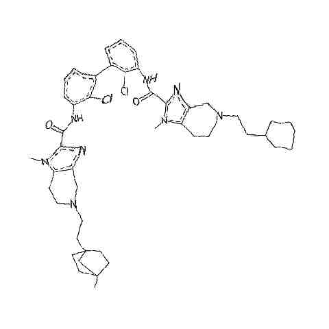 Cn1c(C(=O)Nc2cccc(-c3cccc(NC(=O)c4nc5c(n4C)CCN(CCC46CCC(C)(CC4)C6)C5)c3Cl)c2Cl)nc2c1CCN(CCC1CCCCC1)C2